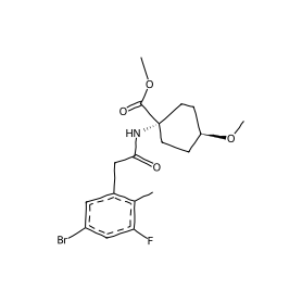 COC(=O)[C@]1(NC(=O)Cc2cc(Br)cc(F)c2C)CC[C@H](OC)CC1